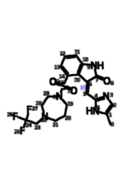 Cc1cnc(/C=C2\C(=O)Nc3cccc(S(=O)(=O)N4CCCN(CC(F)(F)F)CC4)c32)[nH]1